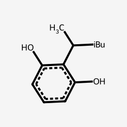 CCC(C)C(C)c1c(O)cccc1O